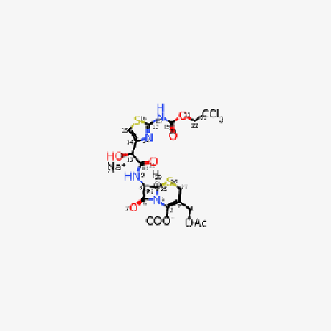 CC(=O)OCC1=C(C(=O)[O-])N2C(=O)[C@@H](NC(=O)C(O)c3csc(NC(=O)OCC(Cl)(Cl)Cl)n3)[C@H]2SC1.[Na+]